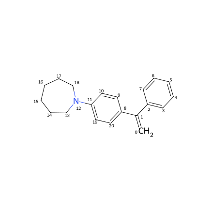 C=C(c1ccccc1)c1ccc(N2CCCCCC2)cc1